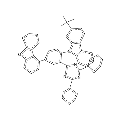 CC(C)(C)c1ccc2c3ccccc3n(-c3ccc(-c4cccc5oc6ccccc6c45)cc3-c3nc(-c4ccccc4)nc(-c4ccccc4)n3)c2c1